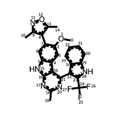 COc1cc2c(cc1-c1c(C)noc1C)[nH]c1nc(C)nc(-c3c(C(F)(F)F)[nH]c4ccccc34)c12